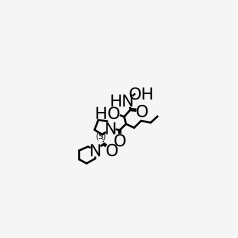 CCCCC(C(=O)N1CCC[C@H]1C(=O)N1CCCCC1)C(O)C(=O)NO